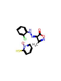 CC1=NOC(=O)C1=NNc1ccccc1Cl.[O-][n+]1ccccc1S